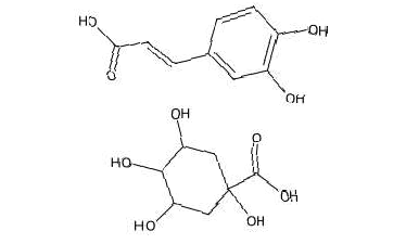 O=C(O)C1(O)CC(O)C(O)C(O)C1.O=C(O)C=Cc1ccc(O)c(O)c1